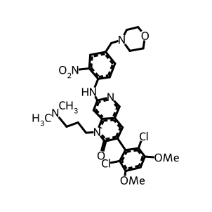 COc1cc(OC)c(Cl)c(-c2cc3cnc(Nc4ccc(CN5CCOCC5)cc4[N+](=O)[O-])cc3n(CCCN(C)C)c2=O)c1Cl